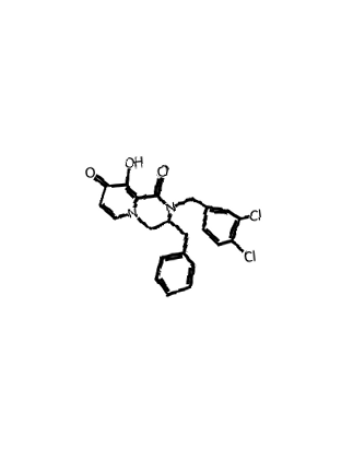 O=C1c2c(O)c(=O)ccn2CC(Cc2ccccc2)N1Cc1ccc(Cl)c(Cl)c1